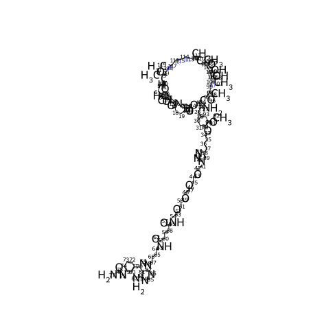 CO[C@H]1C[C@@H]2CC[C@@H](C)[C@@](O)(O2)C(=O)C(=O)N2CCCC[C@H]2C(=O)O[C@H]([C@H](N)C[C@@H]2CC[C@@H](OCCCCc3cn(CCOCCOCCOCCOCCNC(=O)CCCC(=O)NCCCCn4nc(-c5ccc6oc(N)nc6c5)c5c(N)ncnc54)nn3)[C@H](OC)C2)CC(=O)[C@H](C)/C=C(\C)[C@@H](O)[C@@H](O)C(=O)[C@H](C)C[C@H](C)/C=C/C=C/C=C/1C